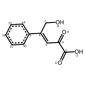 O=C(O)C(=O)C=C(CO)c1ccccc1